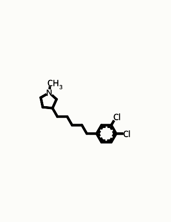 CN1CCC(CCCCCc2ccc(Cl)c(Cl)c2)C1